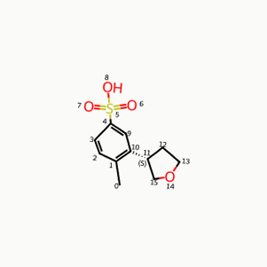 Cc1ccc(S(=O)(=O)O)cc1[C@@H]1CCOC1